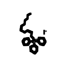 CCCCC/C=C\C/C=C\CC[P+](c1ccccc1)(c1ccccc1)c1ccccc1.[I-]